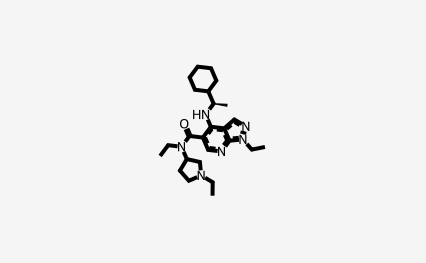 CCN1CCC(N(CC)C(=O)c2cnc3c(cnn3CC)c2N[C@H](C)C2CCCCC2)C1